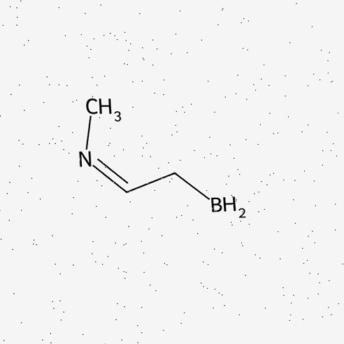 BC/C=N\C